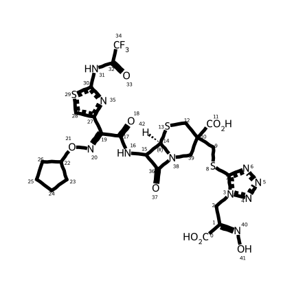 O=C(O)C(Cn1nnnc1SCC1(C(=O)O)CS[C@@H]2C(NC(=O)C(=NOC3CCCC3)c3csc(NC(=O)C(F)(F)F)n3)C(=O)N2C1)=NO